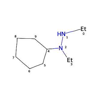 CCNN(CC)C1CCCCC1